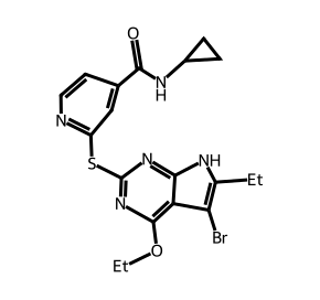 CCOc1nc(Sc2cc(C(=O)NC3CC3)ccn2)nc2[nH]c(CC)c(Br)c12